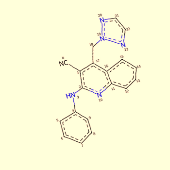 N#Cc1c(Nc2ccccc2)nc2ccccc2c1Cn1nccn1